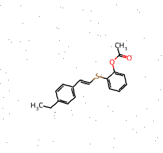 CCc1ccc(C=CSc2ccccc2OC(C)=O)cc1